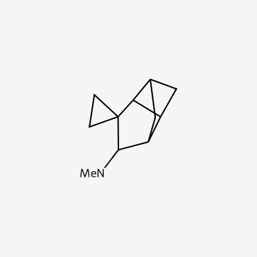 CNC1C2CC3CC2C3C12CC2